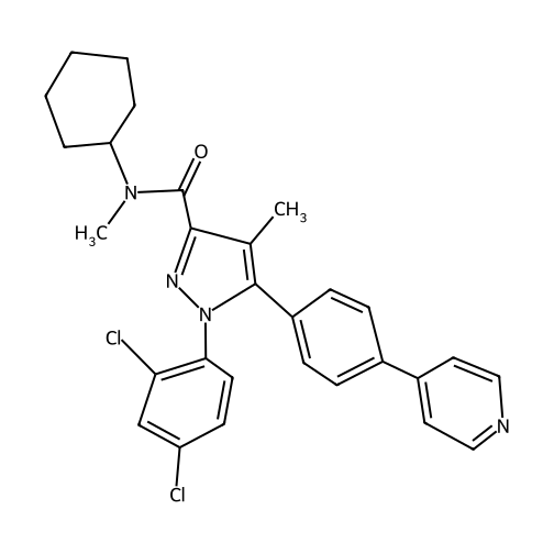 Cc1c(C(=O)N(C)C2CCCCC2)nn(-c2ccc(Cl)cc2Cl)c1-c1ccc(-c2ccncc2)cc1